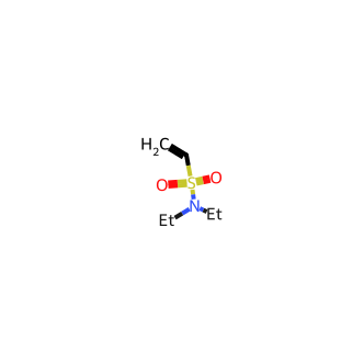 C=CS(=O)(=O)N(CC)CC